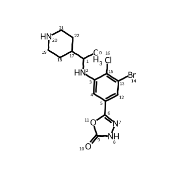 CC(Nc1cc(-c2n[nH]c(=O)o2)cc(Br)c1Cl)C1CCNCC1